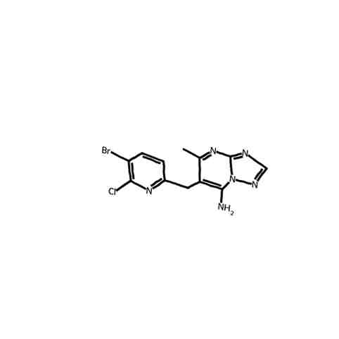 Cc1nc2ncnn2c(N)c1Cc1ccc(Br)c(Cl)n1